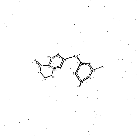 Cc1cc(C)cc(Oc2cnc3c(c2)CCCC3=O)c1